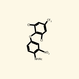 CC(=O)Nc1ccc(Oc2c(Cl)cc(C(F)(F)F)cc2Cl)cc1[N+](=O)[O-]